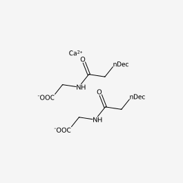 CCCCCCCCCCCC(=O)NCC(=O)[O-].CCCCCCCCCCCC(=O)NCC(=O)[O-].[Ca+2]